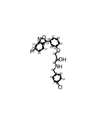 O[C@H](CNCc1ccc(Cl)cc1)COc1cccc(-c2onc3cc(F)ccc23)c1